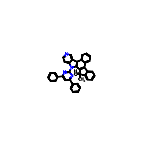 CC1(C)c2ccccc2-c2c1c1c(c3ccccc23)c2cnccc2n1-c1nc(-c2ccccc2)cc(-c2ccccc2)n1